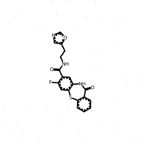 O=C(NCCc1cnco1)c1cc2c(cc1F)Sc1ccccc1C(=O)N2